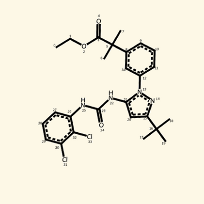 CCOC(=O)C(C)(C)c1cccc(-n2nc(C(C)(C)C)cc2NC(=O)Nc2cccc(Cl)c2Cl)c1